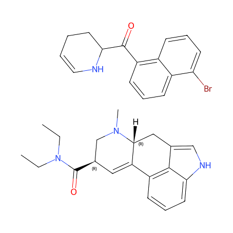 CCN(CC)C(=O)[C@@H]1C=C2c3cccc4[nH]cc(c34)C[C@H]2N(C)C1.O=C(c1cccc2c(Br)cccc12)C1CCC=CN1